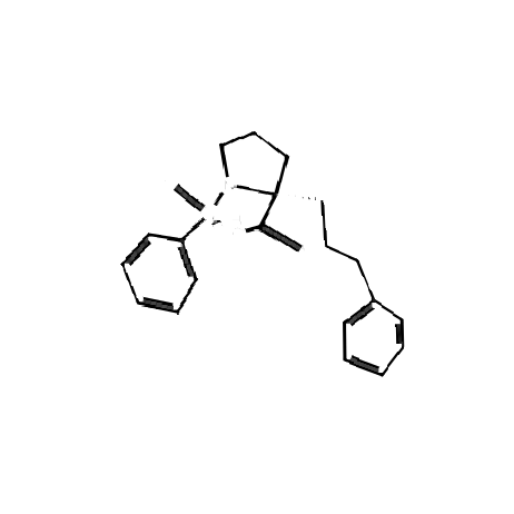 O=S(=O)(c1ccccc1)N1CCC[C@@]1(CCCc1ccccc1)C(O)=S